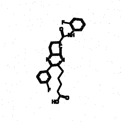 O=C(O)CCCCc1nc2cc(C(=O)Nc3ccccc3F)ccc2nc1-c1cccc(F)c1